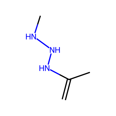 C=C(C)NNNC